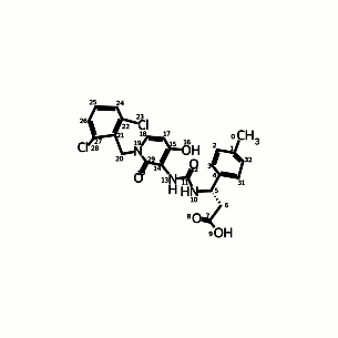 Cc1ccc([C@H](CC(=O)O)NC(=O)Nc2c(O)ccn(Cc3c(Cl)cccc3Cl)c2=O)cc1